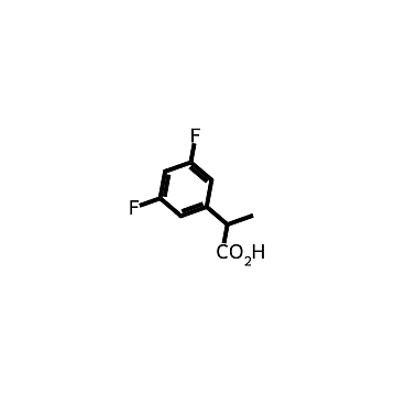 CC(C(=O)O)c1cc(F)cc(F)c1